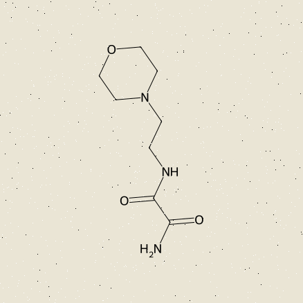 NC(=O)C(=O)NCCN1CCOCC1